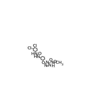 CONC(=O)c1ncnc(Oc2cccc(NC(=O)Nc3ccc(Cl)c(Cl)c3)c2)n1